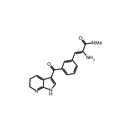 CNC(=O)/C(N)=C/c1cccc(C(=O)c2c[nH]c3c2=CCCN=3)c1